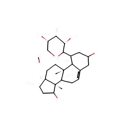 CC(=O)[C@H]1CC(O)[C@H]2[C@@H]3CC=C4CC(O)CC(C5O[C@H](CO)[C@@H](O)[C@H](O)[C@H]5O)[C@]4(C)[C@H]3CC[C@]12C